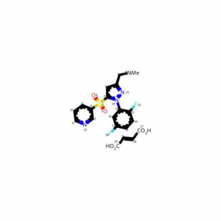 CNCc1cc(S(=O)(=O)c2cccnc2)n(-c2cc(F)ccc2F)n1.O=C(O)C=CC(=O)O